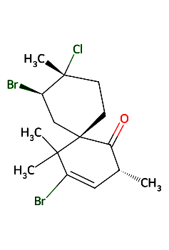 C[C@@H]1C=C(Br)C(C)(C)[C@@]2(CC[C@@](C)(Cl)[C@H](Br)C2)C1=O